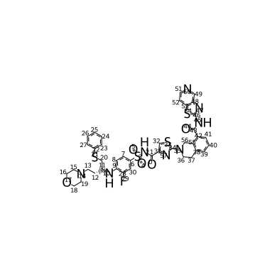 O=C(NS(=O)(=O)c1ccc(N[C@H](CCN2CCOCC2)CSc2ccccc2)c(F)c1)c1csc(N2CCc3cccc(C(=O)Nc4nc5cnccc5s4)c3C2)n1